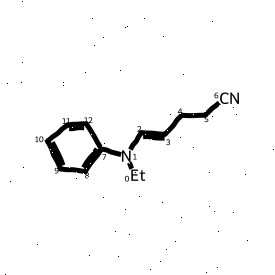 CCN(C=CCCC#N)c1ccccc1